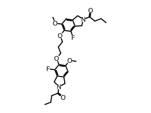 CCCC(=O)N1Cc2cc(OC)c(OCCCOc3c(OC)cc4c(c3F)CN(C(=O)CCC)C4)c(F)c2C1